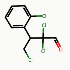 O=CC(Cl)(Cl)C(CCl)c1ccccc1Cl